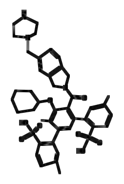 Cc1ccc(S(=O)(=O)O)c(-c2cc(-c3cc(C)ccc3S(=O)(=O)O)c(C(=O)N3Cc4ccc(CN5CCNCC5)cc4C3)c(OC3CCCCC3)c2C)c1